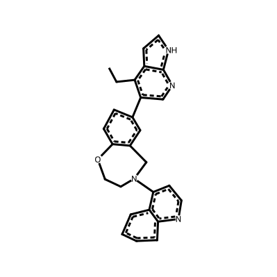 CCc1c(-c2ccc3c(c2)CN(c2ccnc4ccccc24)CCO3)cnc2[nH]ccc12